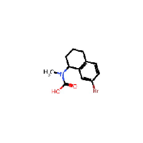 CN(C(=O)O)C1CCCc2ccc(Br)cc21